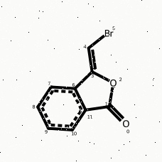 O=C1O/C(=C\Br)c2ccccc21